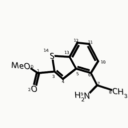 COC(=O)c1cc2c(C(C)N)cccc2s1